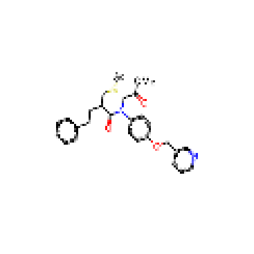 COC(=O)CN(C(=O)C(CCc1ccccc1)CSC(C)=O)c1ccc(OCc2cccnc2)cc1